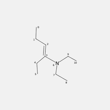 CC/C=C(\CC)N(CC)CC